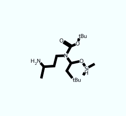 CC(N)CCN(C(=O)OC(C)(C)C)C(CC(C)(C)C)O[SiH](C)C